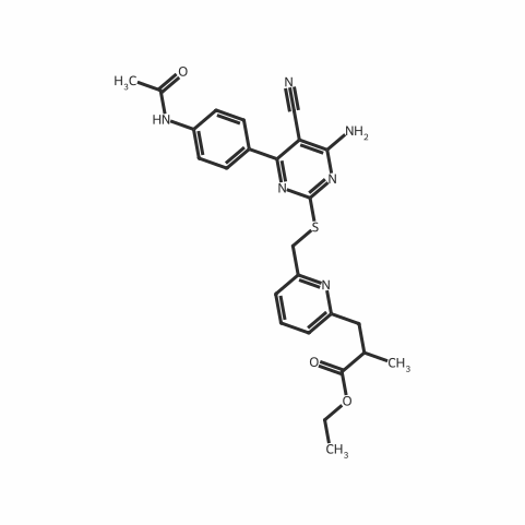 CCOC(=O)C(C)Cc1cccc(CSc2nc(N)c(C#N)c(-c3ccc(NC(C)=O)cc3)n2)n1